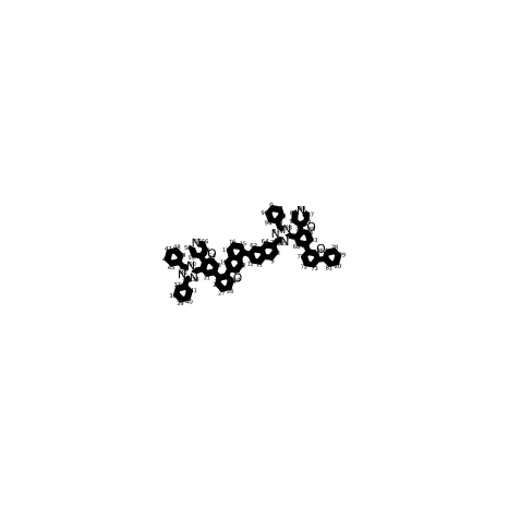 c1ccc(-c2nc(-c3ccc4ccc(-c5cccc6cc7c(cc56)oc5cccc(-c6cc(-c8nc(-c9ccccc9)nc(-c9ccccc9)n8)c8c(c6)oc6cnccc68)c57)cc4c3)nc(-c3cc(-c4cccc5c4oc4ccccc45)cc4oc5cnccc5c34)n2)cc1